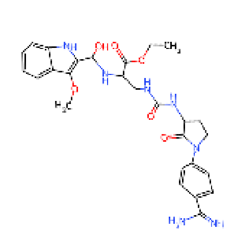 CCOC(=O)C(CNC(=O)NC1CCN(c2ccc(C(=N)N)cc2)C1=O)NC(O)c1[nH]c2ccccc2c1OC